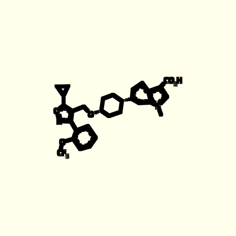 Cn1cc(C(=O)O)c2ccc([C@H]3CC[C@@H](OCc4c(-c5ccccc5OC(F)(F)F)noc4C4CC4)CC3)cc21